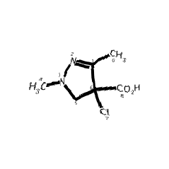 CC1=NN(C)CC1(Cl)C(=O)O